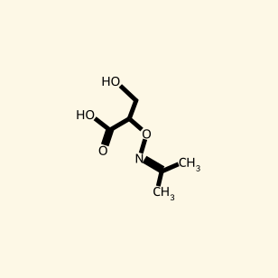 CC(C)=NOC(CO)C(=O)O